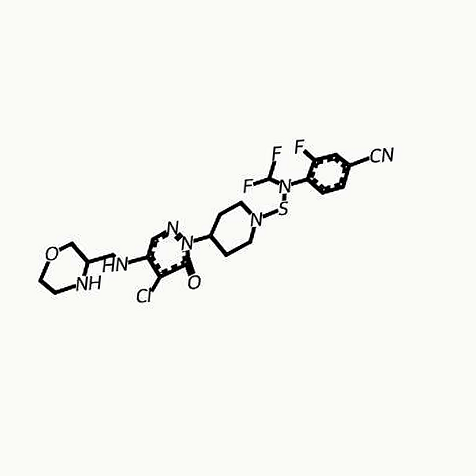 N#Cc1ccc(N(SN2CCC(n3ncc(NCC4COCCN4)c(Cl)c3=O)CC2)C(F)F)c(F)c1